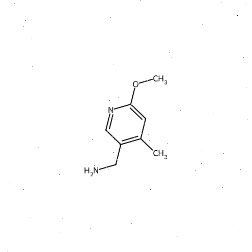 COc1cc(C)c(CN)cn1